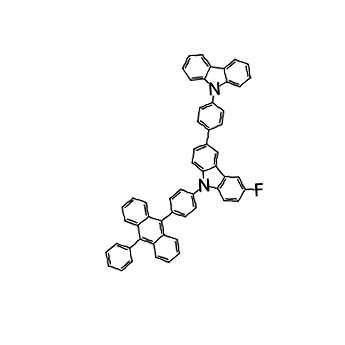 Fc1ccc2c(c1)c1cc(-c3ccc(-n4c5ccccc5c5ccccc54)cc3)ccc1n2-c1ccc(-c2c3ccccc3c(-c3ccccc3)c3ccccc23)cc1